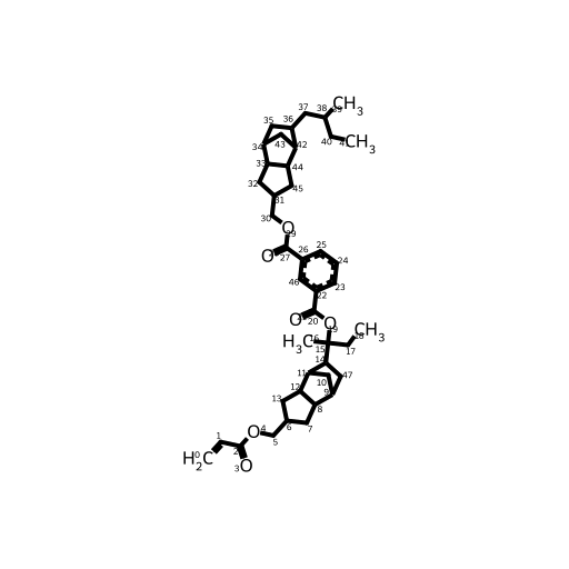 C=CC(=O)OCC1CC2C3CC(C2C1)C(C(C)(CC)OC(=O)c1cccc(C(=O)OCC2CC4C5CC(CC(C)CC)C(C5)C4C2)c1)C3